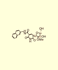 CO[C@@H]1[C@@H](O)[C@@H](CO)O[C@H]1n1cc(C(=O)NCc2ccc3ccccc3c2)c(=O)[nH]c1=O